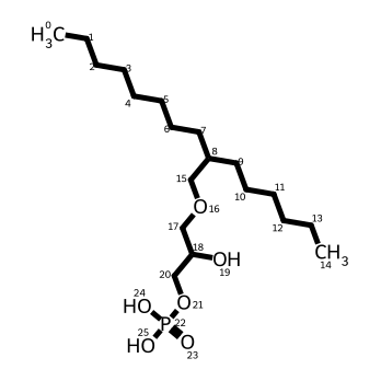 CCCCCCCCC(CCCCCC)COCC(O)COP(=O)(O)O